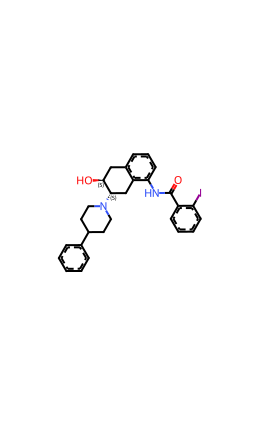 O=C(Nc1cccc2c1C[C@H](N1CCC(c3ccccc3)CC1)[C@@H](O)C2)c1ccccc1I